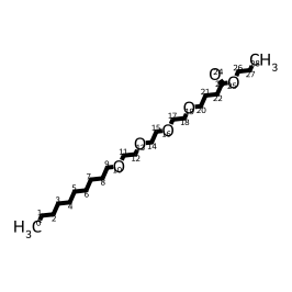 CCCCCCCCCCOCCOCCOCCOCCCC(=O)OCCC